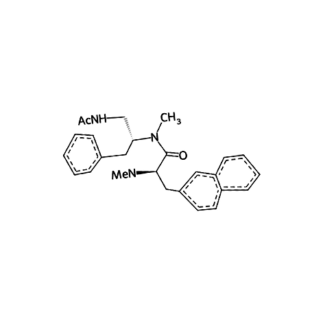 CN[C@H](Cc1ccc2ccccc2c1)C(=O)N(C)[C@@H](CNC(C)=O)Cc1ccccc1